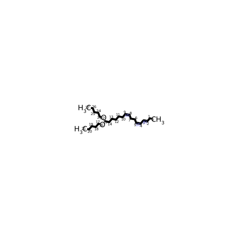 CC/C=C/C=C\CC/C=C\CCCCCC(OCCCCC)OCCCCC